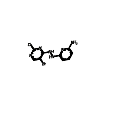 Nc1cccc(NNc2nc(Cl)ncc2Br)n1